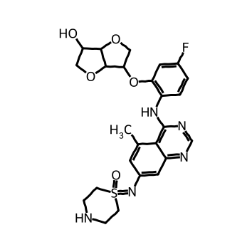 Cc1cc(N=S2(=O)CCNCC2)cc2ncnc(Nc3ccc(F)cc3OC3COC4C(O)COC34)c12